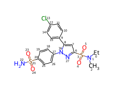 CCN(C)S(=O)(=O)c1cc(-c2ccc(Cl)cc2)n(-c2ccc(S(N)(=O)=O)cc2)n1